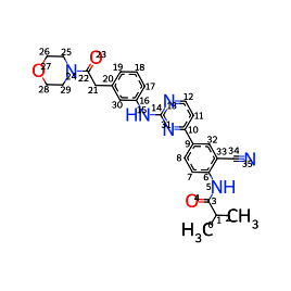 CC(C)C(=O)Nc1ccc(-c2ccnc(Nc3cccc(CC(=O)N4CCOCC4)c3)n2)cc1C#N